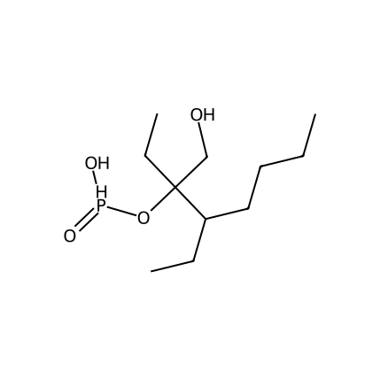 CCCCC(CC)C(CC)(CO)O[PH](=O)O